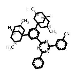 C[C@@H]1C[C@@H]2C[C@H](C)CC(c3cc(-c4nc(-c5ccccc5)nc(-c5cccc(C#N)c5)n4)cc(C45C[C@H](C)C[C@H](C[C@H](C)C4)C5)c3)(C1)C2